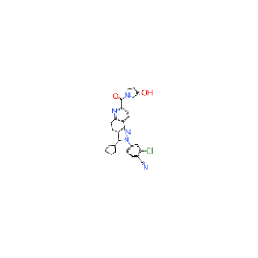 N#Cc1ccc(N2N=C3c4ccc(C(=O)N5CC[C@H](O)C5)nc4CCC3C2C2CCCC2)cc1Cl